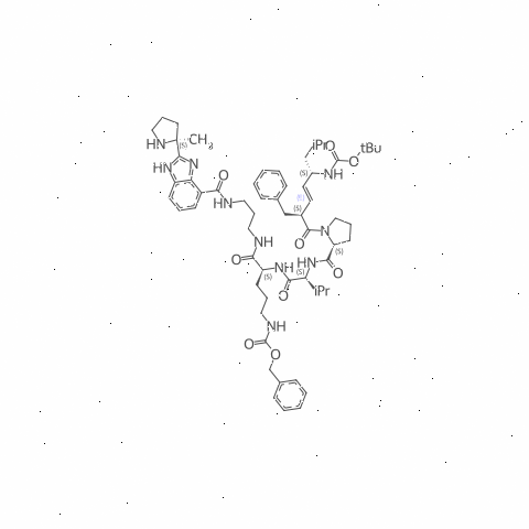 CC(C)C[C@@H](/C=C/[C@H](Cc1ccccc1)C(=O)N1CCC[C@H]1C(=O)N[C@H](C(=O)N[C@@H](CCCNC(=O)OCc1ccccc1)C(=O)NCCCNC(=O)c1cccc2[nH]c([C@]3(C)CCCN3)nc12)C(C)C)NC(=O)OC(C)(C)C